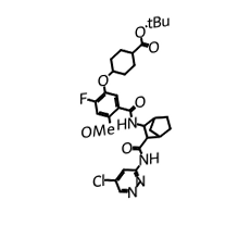 COc1cc(F)c(OC2CCC(C(=O)OC(C)(C)C)CC2)cc1C(=O)NC1C2CCC(C2)C1C(=O)Nc1cc(Cl)cnn1